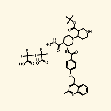 Cc1cc(COc2ccc(C(=O)N[C@@H]3CN(C4CCNCC4C(=O)OC(C)(C)C)CC[C@@H]3C(=O)NO)cc2)c2ccccc2n1.O=C(O)C(F)(F)F.O=C(O)C(F)(F)F